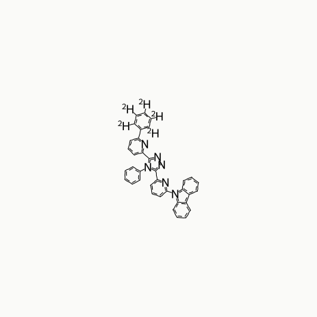 [2H]c1c([2H])c([2H])c(-c2cccc(-c3nnc(-c4cccc(-n5c6ccccc6c6ccccc65)n4)n3-c3ccccc3)n2)c([2H])c1[2H]